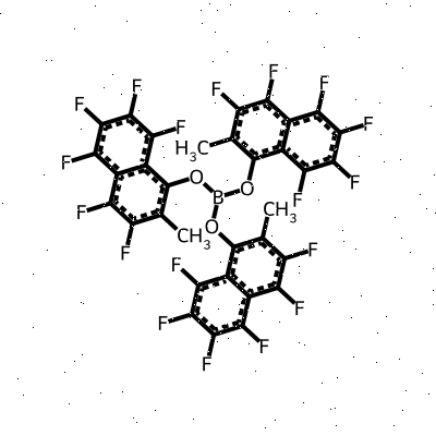 Cc1c(F)c(F)c2c(F)c(F)c(F)c(F)c2c1OB(Oc1c(C)c(F)c(F)c2c(F)c(F)c(F)c(F)c12)Oc1c(C)c(F)c(F)c2c(F)c(F)c(F)c(F)c12